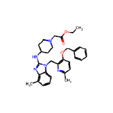 CCOC(=O)CN1CCC(Nc2nc3c(C)cccc3n2Cc2nc(C)ccc2OCc2ccccc2)CC1